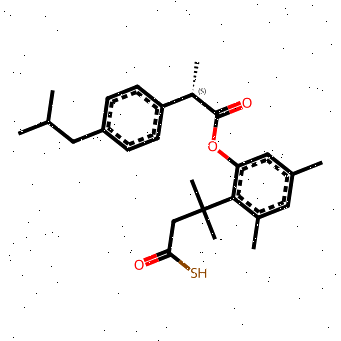 Cc1cc(C)c(C(C)(C)CC(=O)S)c(OC(=O)[C@@H](C)c2ccc(CC(C)C)cc2)c1